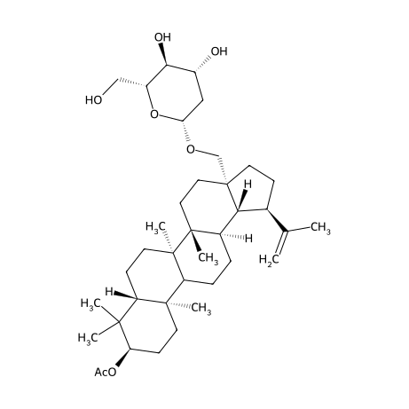 C=C(C)[C@@H]1CC[C@]2(CO[C@H]3C[C@@H](O)[C@H](O)[C@@H](CO)O3)CC[C@]3(C)[C@H](CCC4[C@@]5(C)CC[C@@H](OC(C)=O)C(C)(C)[C@@H]5CC[C@]43C)[C@@H]12